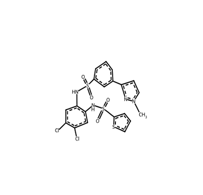 Cn1ccc(-c2cccc(S(=O)(=O)Nc3cc(Cl)c(Cl)cc3NS(=O)(=O)c3cccs3)c2)n1